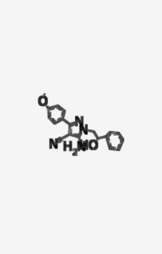 COc1ccc(-c2nn(CC(O)c3ccccc3)c(N)c2C#N)cc1